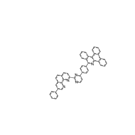 c1ccc(-c2cnc3c(ccc4ccc(-c5nccc(-c6ccc(-c7nc8c9ccccc9c9ccccc9c8c8ccccc78)cc6)n5)nc43)c2)cc1